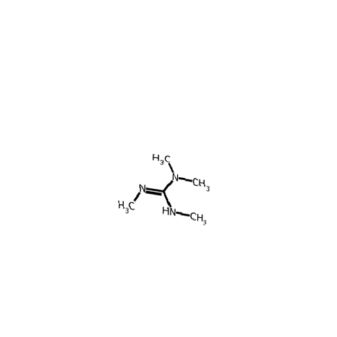 C/N=C(\NC)N(C)C